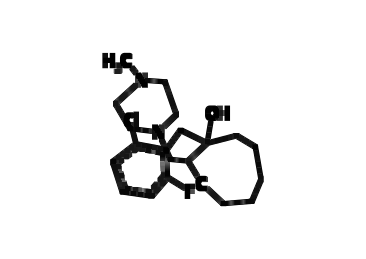 CN1CCN(CC2CCCCCCC2(O)Cc2c(F)cccc2Cl)CC1